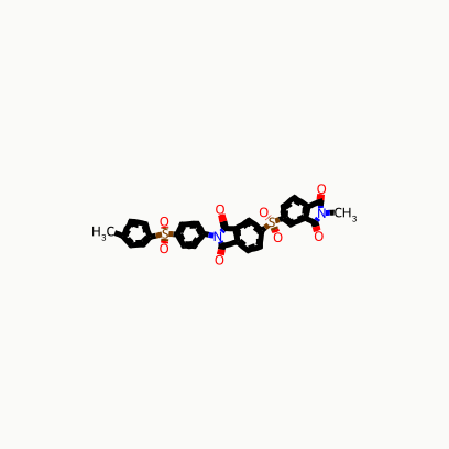 Cc1ccc(S(=O)(=O)c2ccc(N3C(=O)c4ccc(S(=O)(=O)c5ccc6c(c5)C(=O)N(C)C6=O)cc4C3=O)cc2)cc1